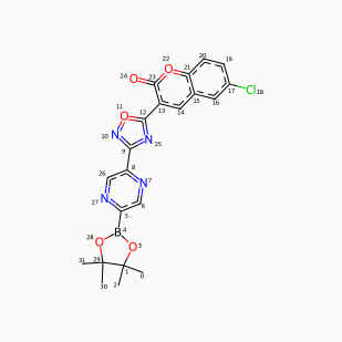 CC1(C)OB(c2cnc(-c3noc(-c4cc5cc(Cl)ccc5oc4=O)n3)cn2)OC1(C)C